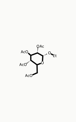 CCO[C@@H]1OC(COC(C)=O)[C@H](OC(C)=O)C(OC(C)=O)[C@@H]1OC(C)=O